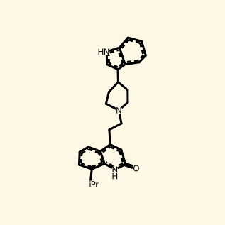 CC(C)c1cccc2c(CCN3CCC(c4c[nH]c5ccccc45)CC3)cc(=O)[nH]c12